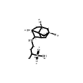 CC(CCNC1C2C[C@H]3C[C@H](C2)C[C@H]1C3)S(=O)(=O)O